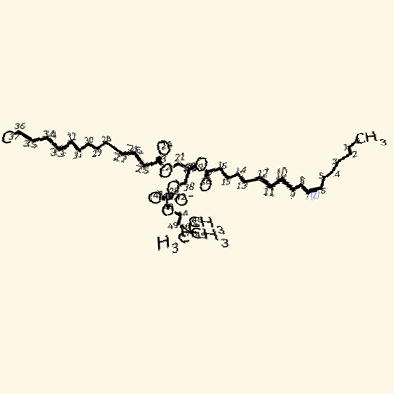 CCCCCC/C=C\CCCCCCCCCC(=O)O[C@H](COC(=O)CCCCCCCCCCCCC)COP(=O)([O-])OCC[N+](C)(C)C